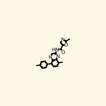 Cc1ccc(-c2ccc(C)c3nc(NC(=O)c4cnc(C)o4)cnc23)cc1